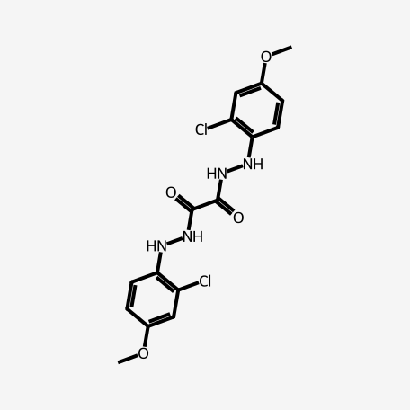 COc1ccc(NNC(=O)C(=O)NNc2ccc(OC)cc2Cl)c(Cl)c1